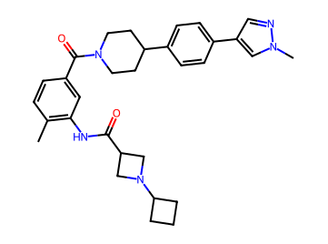 Cc1ccc(C(=O)N2CCC(c3ccc(-c4cnn(C)c4)cc3)CC2)cc1NC(=O)C1CN(C2CCC2)C1